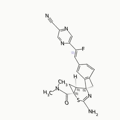 CN(C)C(=O)[C@]12C[C@H]1[C@]1(Cc3ccc(/C=C(\F)c4cnc(C#N)cn4)cc31)N=C(N)S2